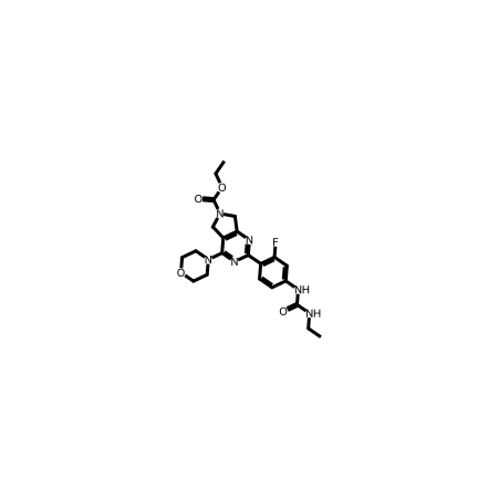 CCNC(=O)Nc1ccc(-c2nc3c(c(N4CCOCC4)n2)CN(C(=O)OCC)C3)c(F)c1